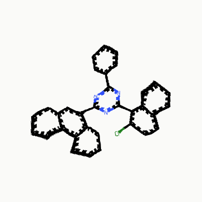 Clc1ccc2ccccc2c1-c1nc(-c2ccccc2)nc(-c2cc3ccccc3c3ccccc23)n1